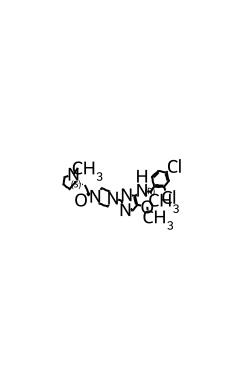 COc1cnc(N2CCN(C(=O)C[C@@H]3CCCN3C)CC2)nc1N[C@H](C)c1ccc(Cl)cc1Cl